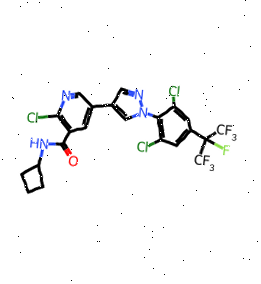 O=C(NC1CCC1)c1cc(-c2cnn(-c3c(Cl)cc(C(F)(C(F)(F)F)C(F)(F)F)cc3Cl)c2)cnc1Cl